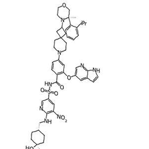 CC(C)c1ccccc1[C@]1(C)COCCN1C1CC2(CCN(c3ccc(C(=O)NS(=O)(=O)c4cnc(NC[C@H]5CC[C@](C)(O)CC5)c([N+](=O)[O-])c4)c(Oc4cnc5[nH]ccc5c4)c3)CC2)C1